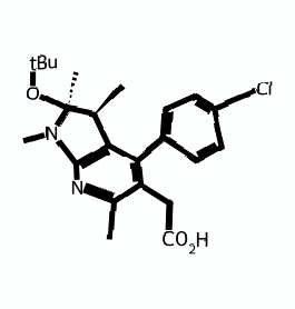 Cc1nc2c(c(-c3ccc(Cl)cc3)c1CC(=O)O)[C@H](C)[C@](C)(OC(C)(C)C)N2C